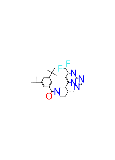 C[C@@H]1CCN(C(=O)c2cc(C(C)(C)C)cc(C(C)(C)C)c2)C[C@H]1c1cc(C(F)F)nc2ncnn12